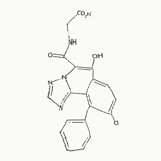 O=C(O)CNC(=O)c1c(O)c2ccc(Cl)c(-c3ccccc3)c2c2ncnn12